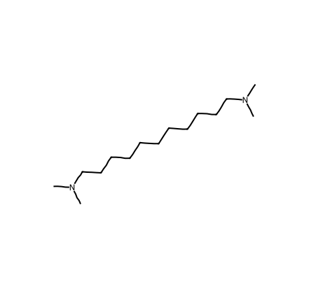 CN(C)CCCCCCCCCCCN(C)C